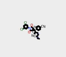 C=C(/C=C\C(C#N)=C/C)[C@]1(c2ccc(C#N)cc2)[C@@H]2C(=O)N(c3cc(Cl)cc(Cl)c3)C(=O)[C@@]21C